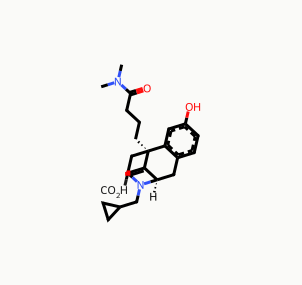 CN(C)C(=O)CCC[C@]12CCN(CC3CC3)[C@H](Cc3ccc(O)cc31)/C2=C\C(=O)O